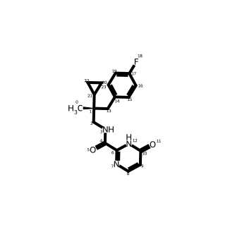 C[C@](CNC(=O)c1nccc(=O)[nH]1)(Cc1ccc(F)cc1)C1CC1